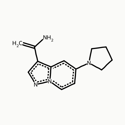 C=C(N)c1cnn2ccc(N3CCCC3)cc12